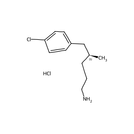 C[C@@H](CCCN)Cc1ccc(Cl)cc1.Cl